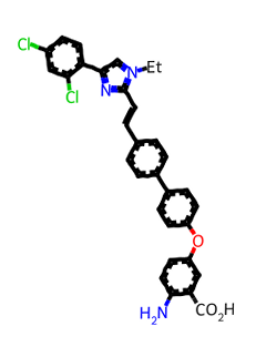 CCn1cc(-c2ccc(Cl)cc2Cl)nc1C=Cc1ccc(-c2ccc(Oc3ccc(N)c(C(=O)O)c3)cc2)cc1